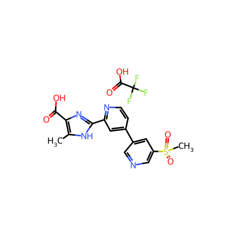 Cc1[nH]c(-c2cc(-c3cncc(S(C)(=O)=O)c3)ccn2)nc1C(=O)O.O=C(O)C(F)(F)F